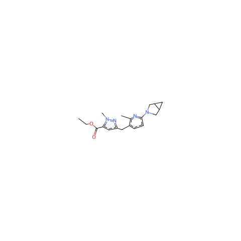 CCOC(=O)c1cc(Cc2ccc(N3CC4CC4C3)nc2C)nn1C